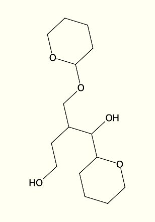 OCCC(COC1CCCCO1)C(O)C1CCCCO1